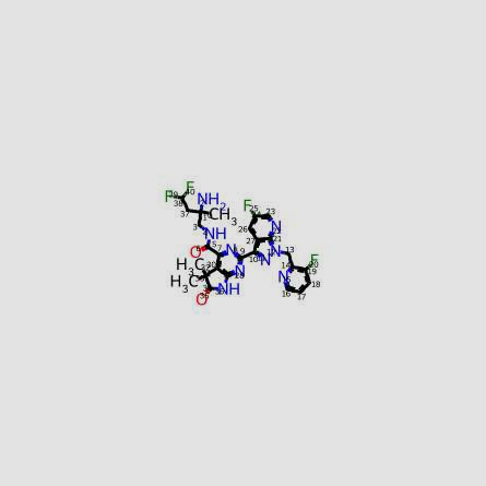 CC(N)(CNC(=O)c1nc(-c2nn(Cc3ncccc3F)c3ncc(F)cc23)nc2c1C(C)(C)C(=O)N2)CC(F)F